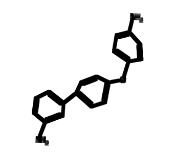 Nc1ccc(Oc2ccc(-c3cccc(N)c3)cc2)cc1